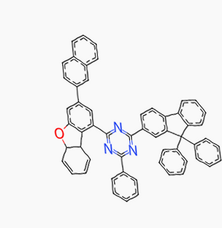 C1=CC2Oc3cc(-c4ccc5ccccc5c4)cc(-c4nc(-c5ccccc5)nc(-c5ccc6c(c5)C(c5ccccc5)(c5ccccc5)c5ccccc5-6)n4)c3C2C=C1